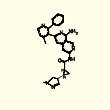 Cc1ccnc(-c2ccccc2)c1-c1cc2cc(NC(=O)[C@H]3C[C@@H]3C3C=NN(C)C3)ncc2c(N)n1